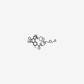 Cc1cc2[nH]c(=O)c3cnn(C4CCOCC4)c3c2cc1C(=O)N1CCN(CCOCC2CC2)CC1